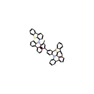 Cc1cc(-c2ccc(N(c3ccccc3-c3ccccc3)c3cccc4c3sc3ccccc34)c(C)c2)ccc1N(c1ccccc1-c1ccccc1)c1cccc2c1sc1ccccc12